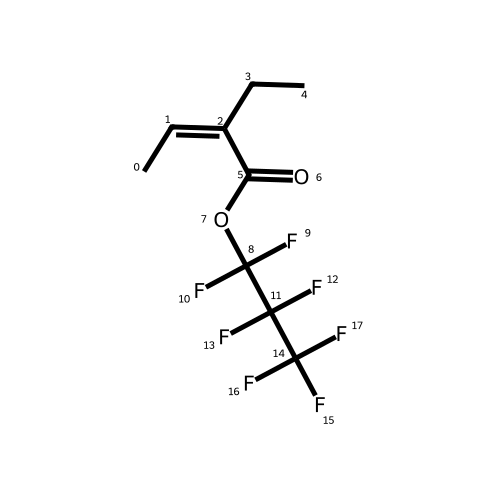 CC=C(CC)C(=O)OC(F)(F)C(F)(F)C(F)(F)F